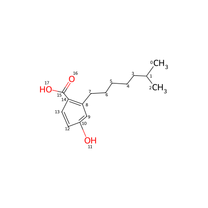 CC(C)CCCCCc1cc(O)ccc1C(=O)O